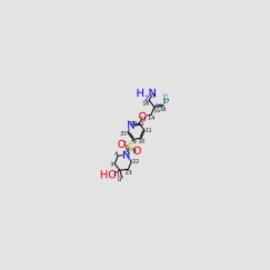 CC1(O)CCN(S(=O)(=O)c2ccc(OC/C(=C/F)CN)nc2)CC1